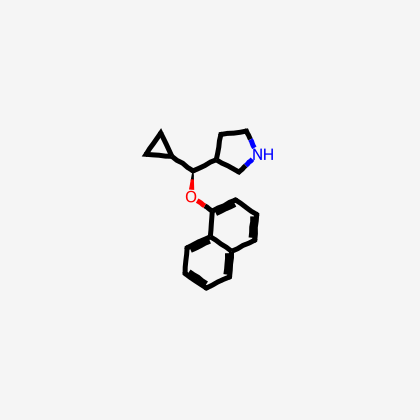 c1ccc2c(O[C@@H](C3CC3)C3CCNC3)cccc2c1